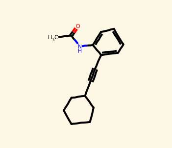 CC(=O)Nc1ccccc1C#CC1CCCCC1